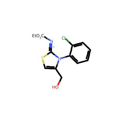 CCOC(=O)/N=c1\scc(CO)n1-c1ccccc1Cl